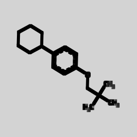 CC(C)(C)COc1ccc(C2CCCCC2)cc1